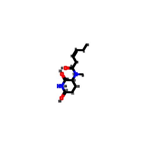 CC/C=C\CC(=O)N(C)C1CCC(=O)NC1=O